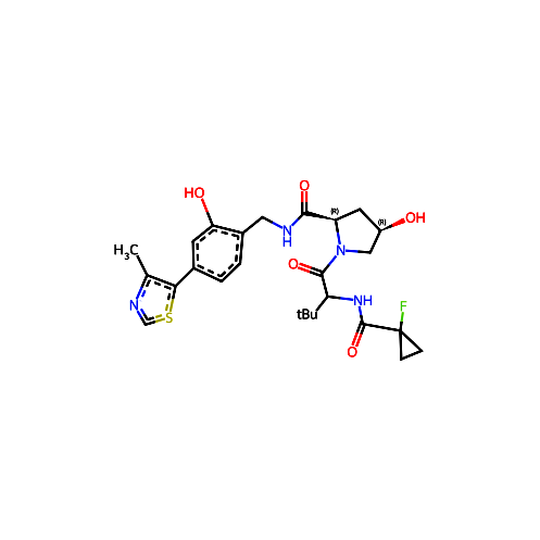 Cc1ncsc1-c1ccc(CNC(=O)[C@H]2C[C@@H](O)CN2C(=O)C(NC(=O)C2(F)CC2)C(C)(C)C)c(O)c1